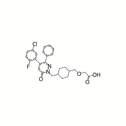 O=C(O)COCC1CCC(Cn2nc(-c3ccccc3)c(-c3cc(Cl)ccc3F)cc2=O)CC1